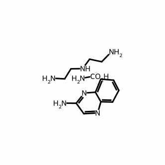 NC(=O)O.NCCNCCN.Nc1cnc2ccccc2n1